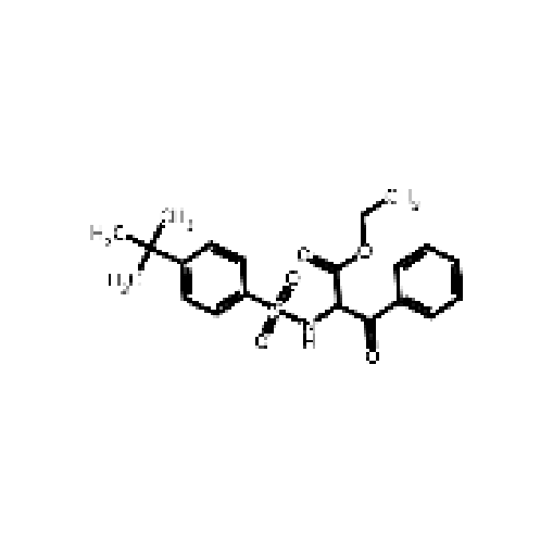 CCOC(=O)C(NS(=O)(=O)c1ccc(C(C)(C)C)cc1)C(=O)c1ccccc1